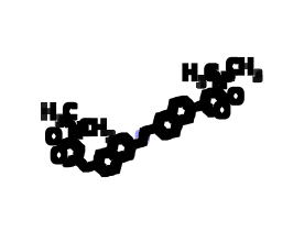 CCN(C)c1cc(Cc2ccc3cc(/C=C/c4ccc5cc(-c6coc(=O)c(N(C)CC)c6)ccc5c4)ccc3c2)coc1=O